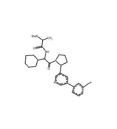 CNC(C)C(=O)NC(C(=O)N1CCCC1c1cncc(-c2cccc(C(C)C)c2)c1)C1CCCCC1